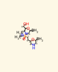 BC1CNCC(CCP(=O)(N(C)C)N2CC(B)OC(CO)C2)O1